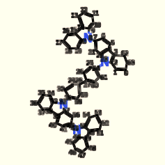 C1=Cc2c(c3ccc(-n4c5ccccc5c5ccccc54)cc3n2-c2ccc(-c3ccc(-n4c5ccccc5c5ccc(-n6c7ccccc7c7ccccc76)cc54)cc3)cc2)CC1